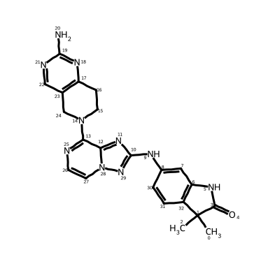 CC1(C)C(=O)Nc2cc(Nc3nc4c(N5CCc6nc(N)ncc6C5)nccn4n3)ccc21